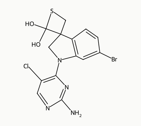 Nc1ncc(Cl)c(N2CC3(CSC3(O)O)c3ccc(Br)cc32)n1